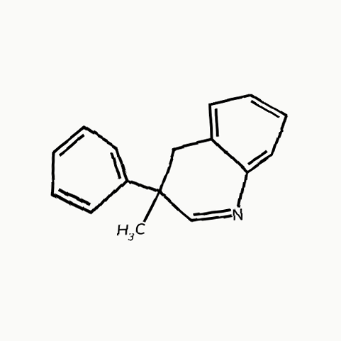 CC1(c2ccccc2)C=Nc2ccccc2C1